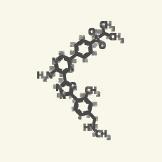 CNCc1ccc(-c2nnc(-c3nc(-c4ccc(S(=O)(=O)C(C)C)cc4)cnc3N)o2)c(C)c1